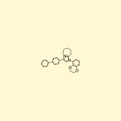 c1ccc(-c2ccc(-c3cn(-c4cccc5c4OCCO5)c4[n+]3CCCCC4)cc2)cc1